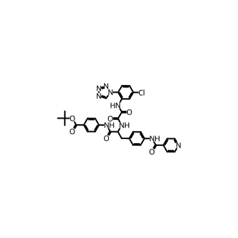 CC(C)(C)OC(=O)c1ccc(NC(=O)C(Cc2ccc(NC(=O)c3ccncc3)cc2)NC(=O)C(=O)Nc2cc(Cl)ccc2-n2cnnn2)cc1